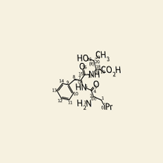 CC(C)C[C@H](N)C(=O)N[C@@H](Cc1ccccc1)C(=O)N[C@H](C(=O)O)[C@@H](C)O